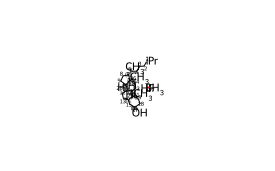 B.CC(C)CCCC(C)[C@H]1CC[C@H]2[C@@H]3CC=C4C[C@@H](O)CC[C@]4(C)[C@H]3CC[C@]12C.F